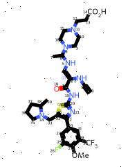 C#CN/C(=C\NC(C)N1CCN(CCC(=O)O)CC1)C(=O)Nc1nc(-c2cc(F)c(OC)c(C(F)(F)F)c2)c(CN2CCCC2C)s1